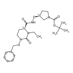 CCN1C(=O)N(OCc2ccccc2)CC[C@H]1C(=O)NO[C@H]1CCN(C(=O)OC(C)(C)C)C1